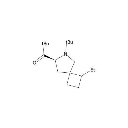 CCC1CCC12C[C@@H](C(=O)C(C)(C)C)N(C(C)(C)C)C2